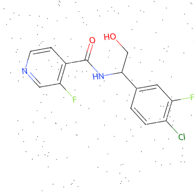 O=C(NC(CO)c1ccc(Cl)c(F)c1)c1ccncc1F